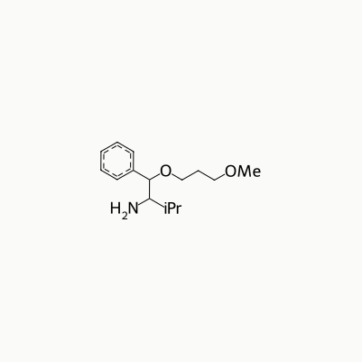 COCCCOC(c1ccccc1)C(N)C(C)C